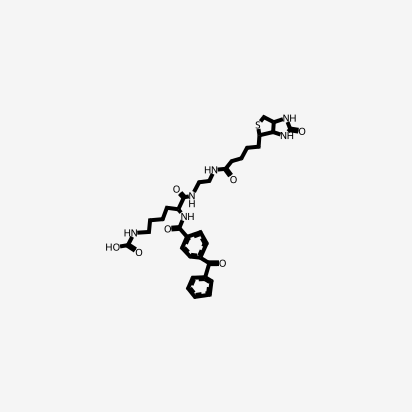 O=C(O)NCCCCC(NC(=O)c1ccc(C(=O)c2ccccc2)cc1)C(=O)NCCNC(=O)CCCCC1SCC2NC(=O)NC21